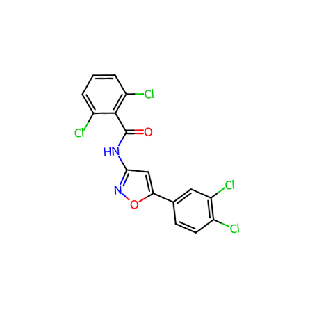 O=C(Nc1cc(-c2ccc(Cl)c(Cl)c2)on1)c1c(Cl)cccc1Cl